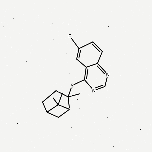 CC1(Sc2ncnc3ccc(F)cc23)CCC2CC1C2(C)C